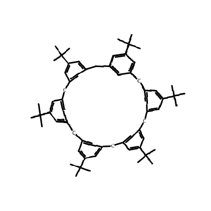 CC(C)(C)c1cc2cc(c1)Cc1cc(cc(C(C)(C)C)c1)Cc1cc(cc(C(C)(C)C)c1)Cc1cc(cc(C(C)(C)C)c1)Cc1cc(cc(C(C)(C)C)c1)Cc1cc(cc(C(C)(C)C)c1)C2